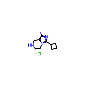 Cl.Ic1nc(C2CCC2)n2c1CNCC2